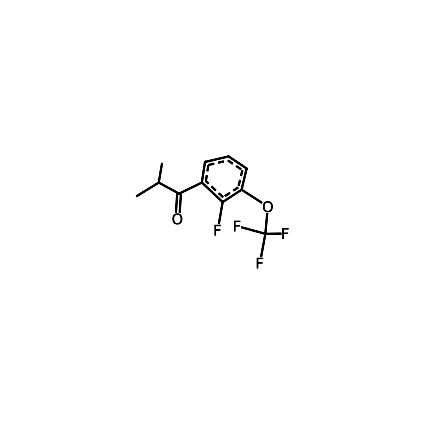 CC(C)C(=O)c1cccc(OC(F)(F)F)c1F